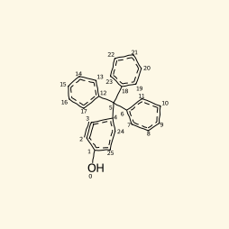 Oc1c#cc(C(c2ccccc2)(c2ccccc2)c2ccccc2)cc1